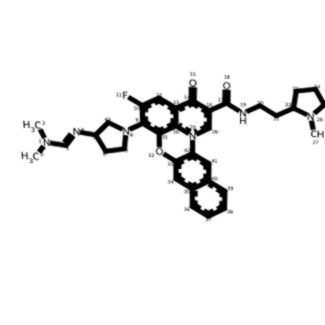 CN(C)/C=N/C1CCN(c2c(F)cc3c(=O)c(C(=O)NCCC4CCCN4C)cn4c3c2Oc2cc3ccccc3cc2-4)C1